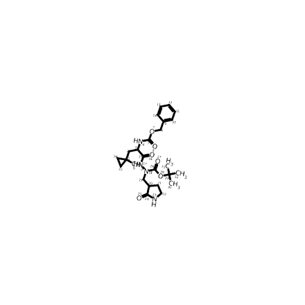 CC1(CC(NC(=O)OCc2ccccc2)C(=O)NN(CC2CCNC2=O)C(=O)OC(C)(C)C)CC1